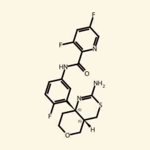 NC1=N[C@@]2(c3cc(NC(=O)c4ncc(F)cc4F)ccc3F)CCOC[C@H]2CS1